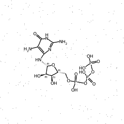 Nc1nc(N[C@@H]2O[C@H](COP(=O)(O)OP(=O)(O)OP(=O)(O)O)[C@@H](O)[C@H]2O)c(N)c(=O)[nH]1